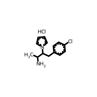 CC(N)C(Cc1ccc(Cl)cc1)n1cccc1.Cl